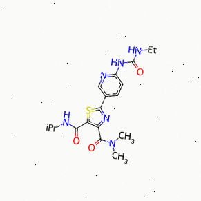 CCNC(=O)Nc1ccc(-c2nc(C(=O)N(C)C)c(C(=O)NC(C)C)s2)cn1